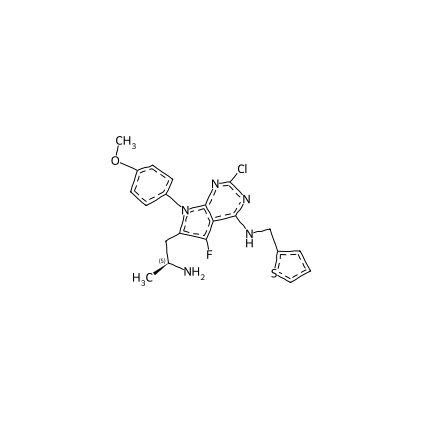 COc1ccc(-n2c(C[C@H](C)N)c(F)c3c(NCc4cccs4)nc(Cl)nc32)cc1